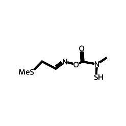 CSCC=NOC(=O)N(C)S